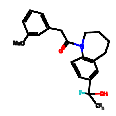 COc1cccc(CC(=O)N2CCCCc3cc(C(O)(F)C(F)(F)F)ccc32)c1